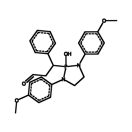 COc1ccc(N2CCN(c3ccc(OC)cc3)[P]2(O)C(CC=O)c2ccccc2)cc1